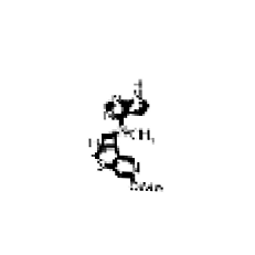 COc1cc2c(cn1)C1[C@@H](CS2)C[C@H]1N(C)c1ncnc2[nH]ccc12